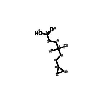 O=C(O)CCC(F)(F)CCC1CC1